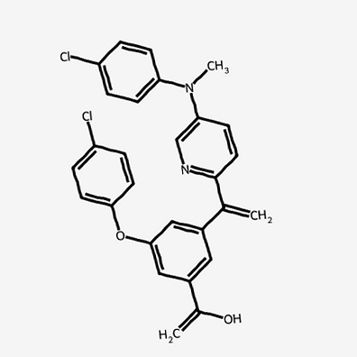 C=C(O)c1cc(Oc2ccc(Cl)cc2)cc(C(=C)c2ccc(N(C)c3ccc(Cl)cc3)cn2)c1